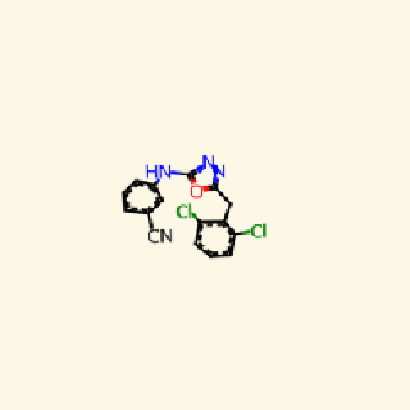 N#Cc1cccc(Nc2nnc(Cc3c(Cl)cccc3Cl)o2)c1